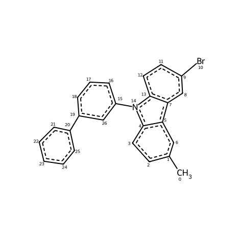 Cc1ccc2c(c1)c1cc(Br)ccc1n2-c1cccc(-c2ccccc2)c1